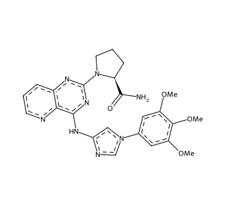 COc1cc(-n2cnc(Nc3nc(N4CCC[C@H]4C(N)=O)nc4cccnc34)c2)cc(OC)c1OC